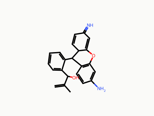 C=C(C)C(O)c1ccccc1C1c2ccc(N)cc2OC2=CC(=N)C=CC21